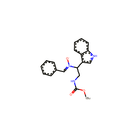 CC(C)(C)OC(=O)NCC(c1c[nH]c2ccccc12)[N+]([O-])=Cc1ccccc1